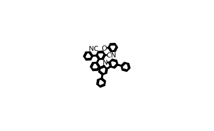 N#Cc1c(Oc2ccccc2)c(C#N)c(-n2c3ccc(-c4ccccc4)cc3c3cc(-c4ccccc4)ccc32)c(-c2ccccc2)c1-c1ccccc1